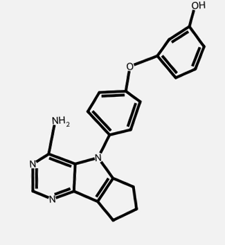 Nc1ncnc2c3c(n(-c4ccc(Oc5cccc(O)c5)cc4)c12)CCC3